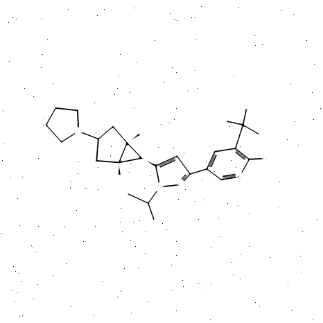 CC(C)n1nc(-c2cnc(N)c(C(F)(F)F)c2)cc1[C@H]1[C@@H]2CC(N3CCCC3)C[C@@H]21